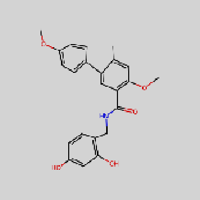 COc1ccc(-c2cc(C(=O)NCc3ccc(O)cc3O)c(OC)cc2C)cc1